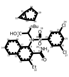 CCCCC(C(=O)O)N(c1c(C(N)=O)c(CC)cc2ccccc12)S(=O)(=O)c1cc(Cl)cc(Cl)c1.c1cc2cc-2c1